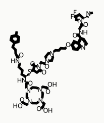 C/N=C/[C@H]1CC(F)(F)CN1C(=O)CNC(=O)c1ccnc2ccc(OCCCCN3CCN(C(=O)CN4C(=O)CC(SC[C@H](CCCCNC(=O)CCCc5ccc(C)cc5)NC(=O)CN5CCN(CC(=O)O)CCN(CC(=O)O)CCN(CC(=O)O)CC5)C4=O)CC3)cc12